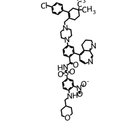 CC1(C)CCC(CN2CCN(c3ccc(C(=O)NS(=O)(=O)c4ccc(NCC5CCOCC5)c([N+](=O)[O-])c4)c(C4=C5CCCN=C5C=NC=C4)c3)CC2)=C(c2ccc(Cl)cc2)C1